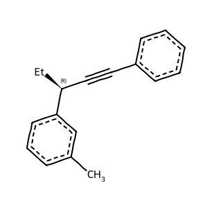 CC[C@@H](C#Cc1ccccc1)c1cccc(C)c1